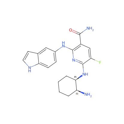 NC(=O)c1cc(F)c(N[C@@H]2CCCC[C@@H]2N)nc1Nc1ccc2[nH]ccc2c1